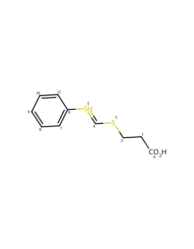 O=C(O)CCSC=[SH]c1ccccc1